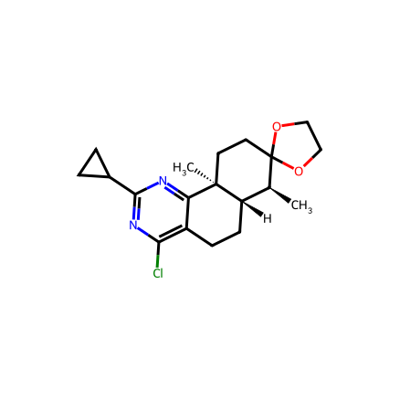 C[C@H]1[C@@H]2CCc3c(Cl)nc(C4CC4)nc3[C@@]2(C)CCC12OCCO2